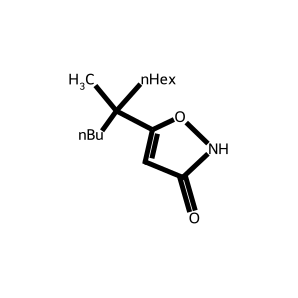 CCCCCCC(C)(CCCC)c1cc(=O)[nH]o1